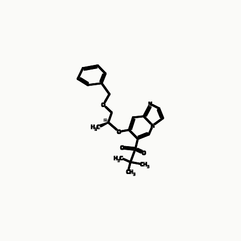 C[C@@H](COCc1ccccc1)Oc1cc2nccn2cc1S(=O)(=O)C(C)(C)C